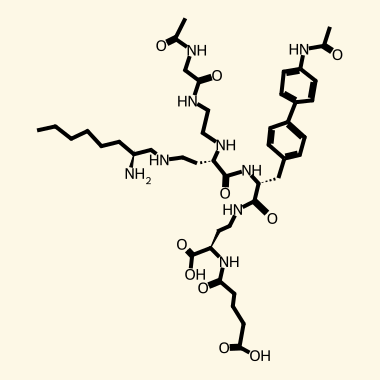 CCCCCC[C@H](N)CNCC[C@H](NCCNC(=O)CNC(C)=O)C(=O)N[C@H](Cc1ccc(-c2ccc(NC(C)=O)cc2)cc1)C(=O)NCC[C@@H](NC(=O)CCCC(=O)O)C(=O)O